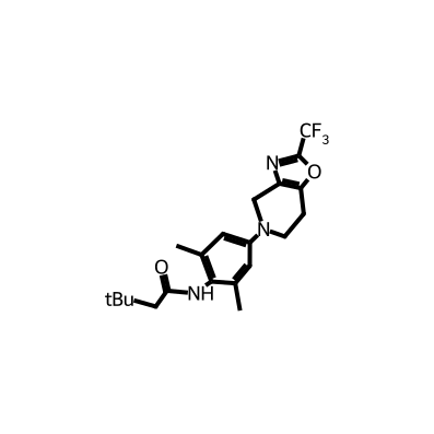 Cc1cc(N2CCc3oc(C(F)(F)F)nc3C2)cc(C)c1NC(=O)CC(C)(C)C